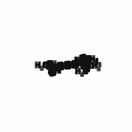 COC(=O)N(C)[C@H](C(=O)N1CCC[C@H]1c1nc2cc(-c3ccc(-c4ccc5[nH]c([C@@H]6CCCN6C(=O)CC(C)C)nc5c4)cc3)ccc2[nH]1)C(C)C